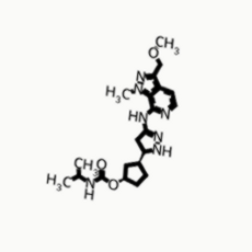 COCc1nn(C)c2c(NC3=NNC([C@H]4CC[C@@H](OC(=O)NC(C)C)C4)C3)nccc12